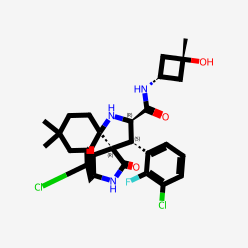 CC1(C)CCC2(CC1)N[C@@H](C(=O)N[C@H]1C[C@@](C)(O)C1)[C@H](c1cccc(Cl)c1F)[C@]21C(=O)Nc2cc(Cl)ccc21